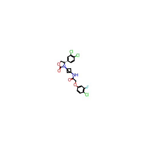 O=C(COc1ccc(Cl)c(F)c1)NC12CC(N3C(=O)OC[C@@H]3c3ccc(Cl)c(Cl)c3)(C1)C2